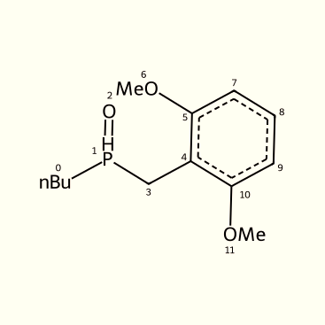 CCCC[PH](=O)Cc1c(OC)cccc1OC